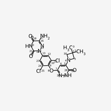 CC1(C)CN(c2cc(Oc3c(Cl)cc(-n4nc(N)c(=O)[nH]c4=O)cc3Cl)n[nH]c2=O)C1